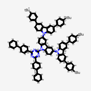 CC(C)(C)c1ccc(-c2ccc3c(c2)c2cc(-c4ccc(C(C)(C)C)cc4)ccc2n3-c2ccc3c(c2)c2cc(-n4c5ccc(-c6ccc(C(C)(C)C)cc6)cc5c5cc(-c6ccc(C(C)(C)C)cc6)ccc54)ccc2n3-c2nc(-c3ccc(-c4ccccc4)cc3)nc(-c3ccc(-c4ccccc4)cc3)n2)cc1